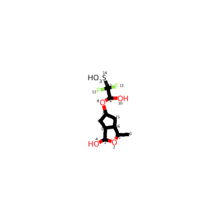 CC1OC(O)C2CC(OC(O)C(F)(F)S(=O)(=O)O)CC12